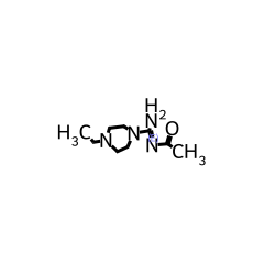 CCN1CCN(/C(N)=N/C(C)=O)CC1